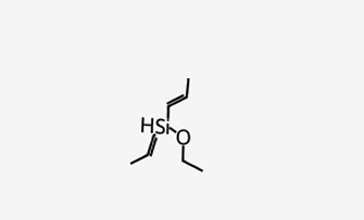 CC=C[SiH](C=CC)OCC